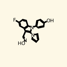 ON=Cc1c(-n2cccc2)n(-c2ccc(O)cc2)c2ccc(F)cc12